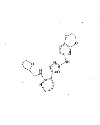 c1cnc(NCC2CCCO2)c(-c2nnc(Nc3ccc4c(c3)OCCO4)o2)c1